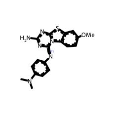 COc1ccc2c(c1)sc1nc(N)n/c(=N\c3ccc(N(C)C)cc3)n12